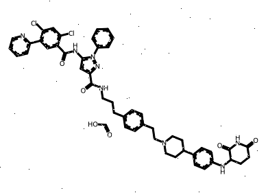 O=C1CCC(Nc2ccc(C3CCN(CCc4ccc(CCCNC(=O)c5cc(NC(=O)c6cc(-c7ccccn7)c(Cl)cc6Cl)n(-c6ccccc6)n5)cc4)CC3)cc2)C(=O)N1.O=CO